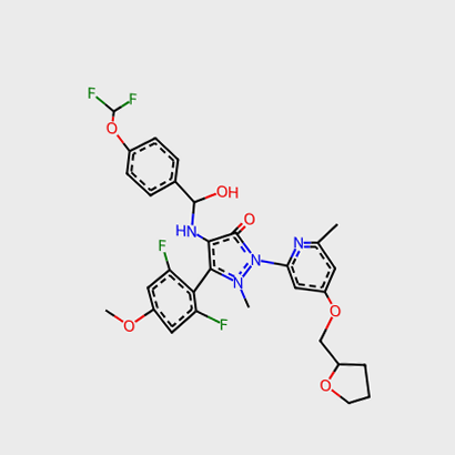 COc1cc(F)c(-c2c(NC(O)c3ccc(OC(F)F)cc3)c(=O)n(-c3cc(OCC4CCCO4)cc(C)n3)n2C)c(F)c1